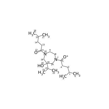 CC(C)CCC(=O)N1CCN(C(=O)CCC(C)C)CC(O)(C(C)C)C1